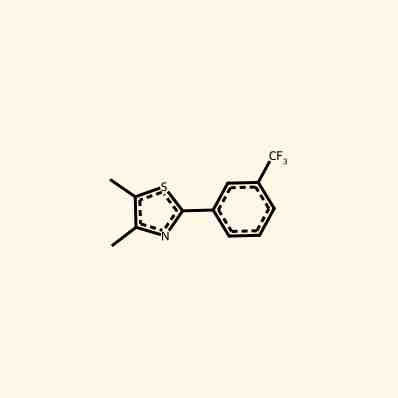 Cc1nc(-c2cccc(C(F)(F)F)c2)sc1C